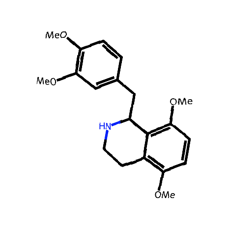 COc1ccc(CC2NCCc3c(OC)ccc(OC)c32)cc1OC